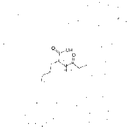 CCCCC(NC(=O)CC)C(=O)O